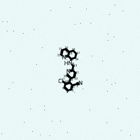 N#Cc1cccc(Cl)c1-c1ccc(CNC2CCCc3cccnc32)nc1